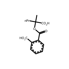 CCCC(C)(OC(=O)c1ccccc1C(=O)O)C(=O)O